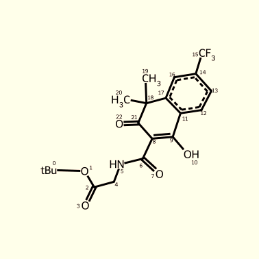 CC(C)(C)OC(=O)CNC(=O)C1=C(O)c2ccc(C(F)(F)F)cc2C(C)(C)C1=O